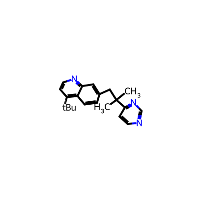 CC(C)(C)c1ccnc2cc(CC(C)(C)c3ccncn3)ccc12